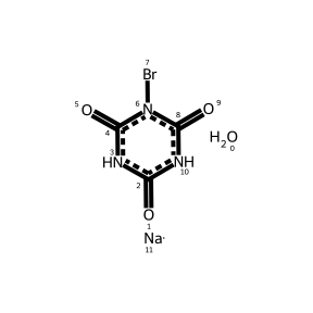 O.O=c1[nH]c(=O)n(Br)c(=O)[nH]1.[Na]